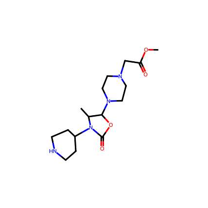 COC(=O)CN1CCN(C2OC(=O)N(C3CCNCC3)C2C)CC1